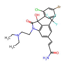 CCN(CC)CCN1C(=O)C(O)(c2ccc(Br)cc2Cl)c2c1cc(C=CC(N)=O)cc2C(F)(F)F